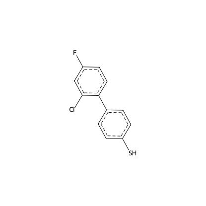 Fc1ccc(-c2ccc(S)cc2)c(Cl)c1